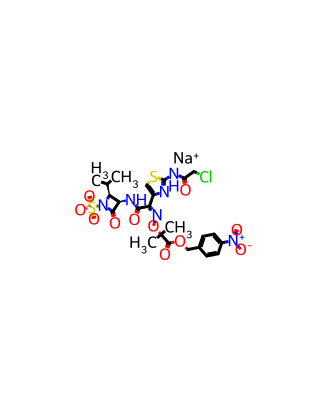 CC(C)[C@H]1[C@@H](NC(=O)/C(=N\OC(C)(C)C(=O)OCc2ccc([N+](=O)[O-])cc2)c2csc(NC(=O)CCl)n2)C(=O)N1S(=O)(=O)[O-].[Na+]